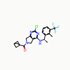 Cc1c([C@@H](C)Nc2nc(Cl)nc3c2CN(C(=O)C24CC(C2)C4)C3)cccc1C(F)(F)F